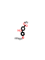 CCCCCCCOc1ccc(C2(O)CCC(C(=O)OCCC)CC2)cc1